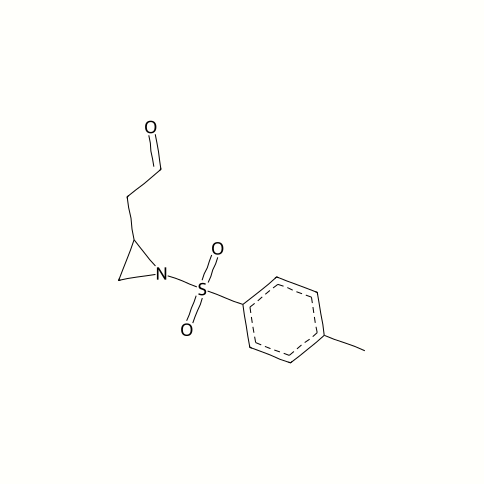 Cc1ccc(S(=O)(=O)N2CC2CC=O)cc1